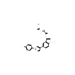 CCc1ccc(-n2cc(-c3ccc4[nH]cc(NC(=O)C(C)NC(=O)OC(C)(C)C)c4c3)cn2)cc1